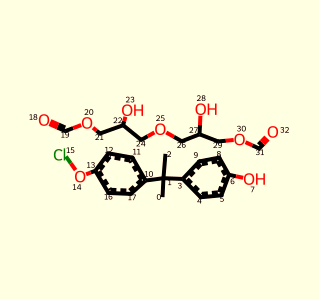 CC(C)(c1ccc(O)cc1)c1ccc(OCl)cc1.O=COCC(O)COCC(O)COC=O